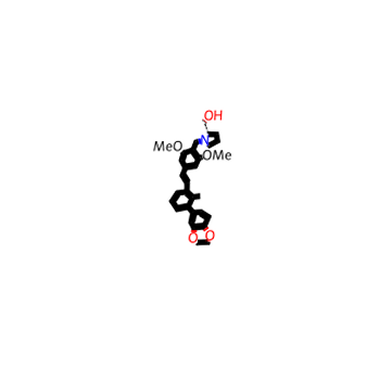 COc1cc(/C=C/c2cccc(-c3ccc4c(c3)OCCO4)c2C)cc(OC)c1CN1CCC[C@H]1CO